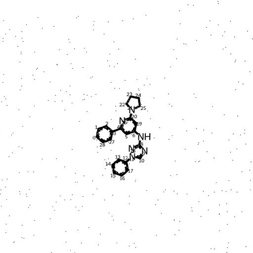 c1ccc(-c2cc(Nc3ncn(-c4ccccc4)n3)cc(N3CCCC3)n2)cc1